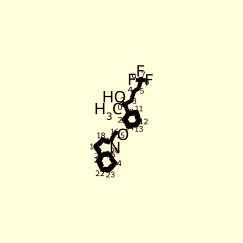 CC(O)(CCCC(F)(F)F)c1cccc(OCc2ccc3ccccc3n2)c1